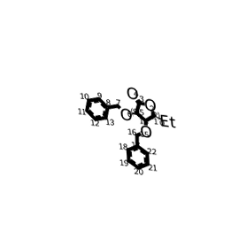 CC[C@H]1OC(=O)[C@@H](OCc2ccccc2)C1OCc1ccccc1